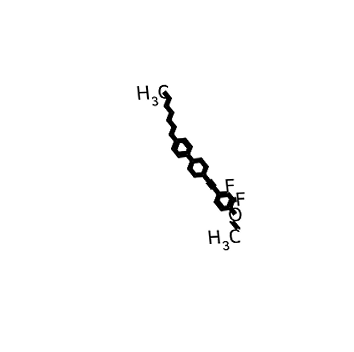 CCCCCCCc1ccc(C2CCC(C#Cc3ccc(OCCC)c(F)c3F)CC2)cc1